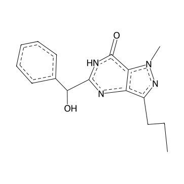 CCCc1nn(C)c2c(=O)[nH]c(C(O)c3ccccc3)nc12